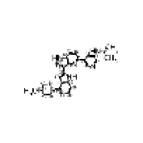 CC(C)Nc1cncc(-c2ccc3[nH]nc(-c4cc5c(N6CCN(C)CC6)nccc5[nH]4)c3n2)c1